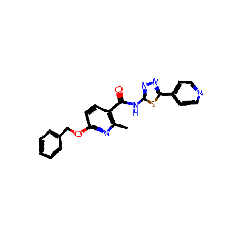 Cc1nc(OCc2ccccc2)ccc1C(=O)Nc1nnc(-c2ccncc2)s1